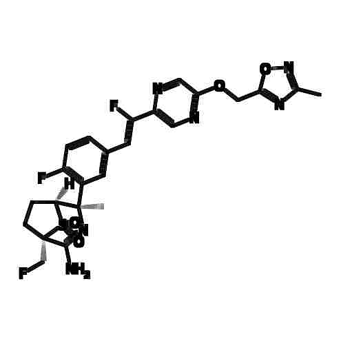 Cc1noc(COc2cnc(/C(F)=C/c3ccc(F)c([C@@]4(C)N=C(N)[C@@]5(CF)CC[C@@H]4S5(=O)=O)c3)cn2)n1